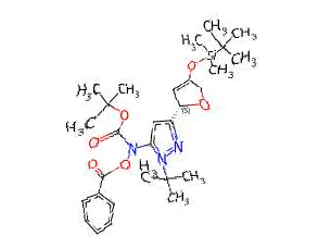 CC(C)(C)OC(=O)N(OC(=O)c1ccccc1)c1cc([C@@H]2C=C(O[Si](C)(C)C(C)(C)C)CO2)nn1C(C)(C)C